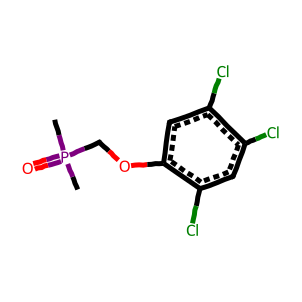 CP(C)(=O)COc1cc(Cl)c(Cl)cc1Cl